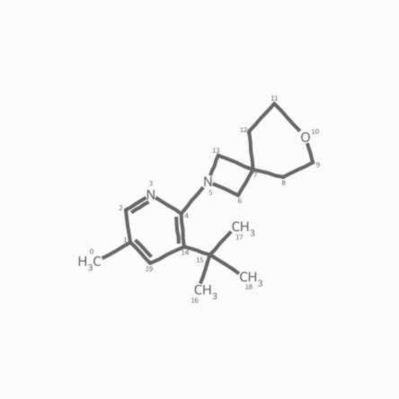 Cc1cnc(N2CC3(CCOCC3)C2)c(C(C)(C)C)c1